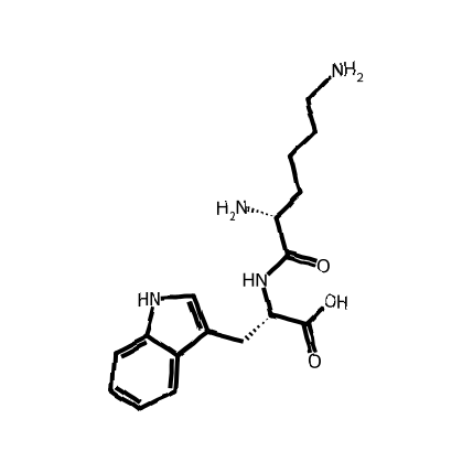 NCCCC[C@@H](N)C(=O)N[C@@H](Cc1c[nH]c2ccccc12)C(=O)O